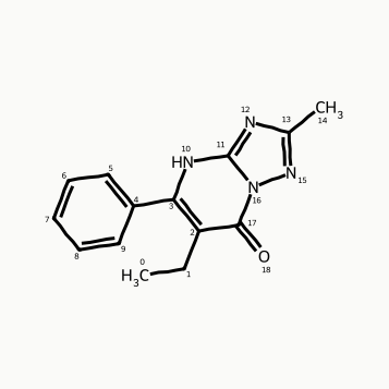 CCc1c(-c2ccccc2)[nH]c2nc(C)nn2c1=O